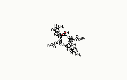 Cc1nc2c(ncn2[C@@H]2O[C@@H]3CO[P@](=O)(SCOC(=O)OC(C)C)O[C@H]4[C@@H](O)[C@H](n5cnc6c(N)ncnc65)[C@H]5CC54CO[P@](=O)(OCOC(=O)OC(C)C)O[C@@H]2[C@@H]3CO)c(=O)[nH]1